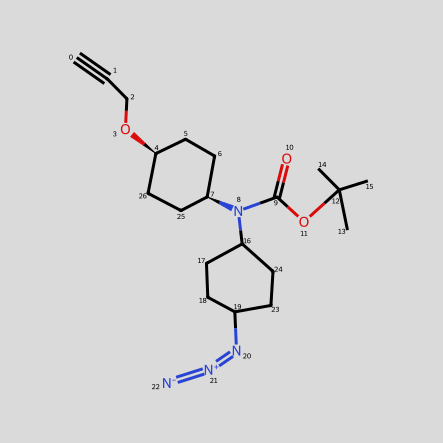 C#CCO[C@H]1CC[C@@H](N(C(=O)OC(C)(C)C)C2CCC(N=[N+]=[N-])CC2)CC1